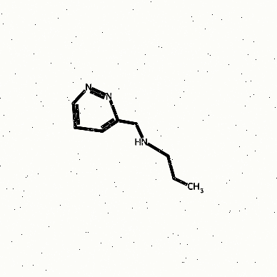 CCCNCc1cccnn1